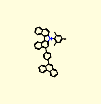 Cc1cc(C)c(-n2c3ccc4ccccc4c3c3c4ccccc4c(-c4ccc(-c5cc6ccccc6c6ccccc56)cc4)cc32)c(C)c1